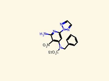 CCOC(=O)N(Cc1ccccc1)c1cc(-n2nccn2)nc(N)c1[N+](=O)[O-]